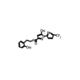 O=C(NCCc1ccccc1O)c1cc(O)n(-c2ccc(C(F)(F)F)cn2)n1